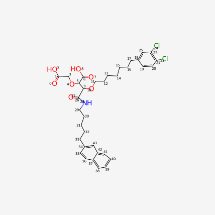 O=C(O)COC(C(=O)O)C(OCCCCCCCc1ccc(Cl)c(Cl)c1)C(=O)NCCCCCc1ccc2ccccc2c1